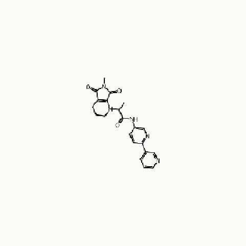 CC(C(=O)Nc1ccc(-c2cccnc2)nc1)N1CCCC2=C1C(=O)N(C)C2=O